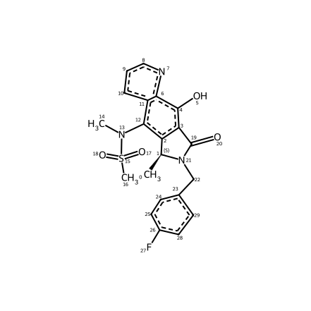 C[C@H]1c2c(c(O)c3ncccc3c2N(C)S(C)(=O)=O)C(=O)N1Cc1ccc(F)cc1